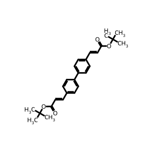 CC(C)(C)OC(=O)C=Cc1ccc(-c2ccc(C=CC(=O)OC(C)(C)C)cc2)cc1